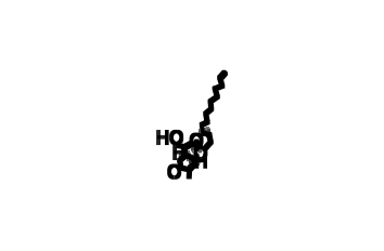 C=CCCCCCCCC[C@H]1CCC[C@]2(C=C(CO)[C@H]3CC(=O)C(C)=C[C@H]3O2)O1